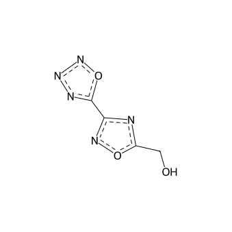 OCc1nc(-c2nnno2)no1